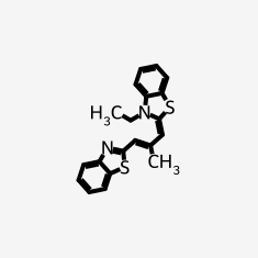 CCN1C(=CC(C)=Cc2nc3ccccc3s2)Sc2ccccc21